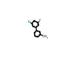 Cc1[c]ccc(-c2cc(F)cc(F)c2)c1